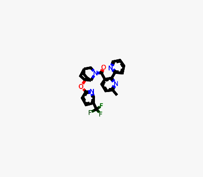 Cc1ccc(C(=O)N2CC3CCC2C(Oc2ccc(C(F)(F)F)cn2)C3)c(-c2ccccn2)n1